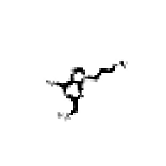 [CH2]CCCn1cnc2c(N)nc(CC)nc21